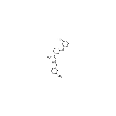 Cc1cccc(O[C@@H]2CCC[C@H](C(C)CNCc3cccc(N)c3)C2)c1